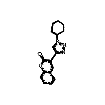 O=c1oc2ccccc2cc1-c1cn(C2CCCCC2)nn1